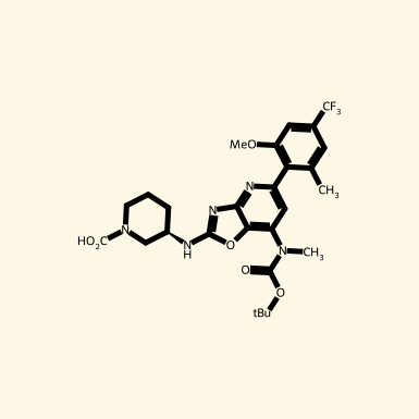 COc1cc(C(F)(F)F)cc(C)c1-c1cc(N(C)C(=O)OC(C)(C)C)c2oc(N[C@@H]3CCCN(C(=O)O)C3)nc2n1